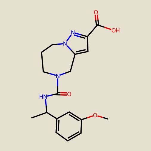 COc1cccc(C(C)NC(=O)N2CCCn3nc(C(=O)O)cc3C2)c1